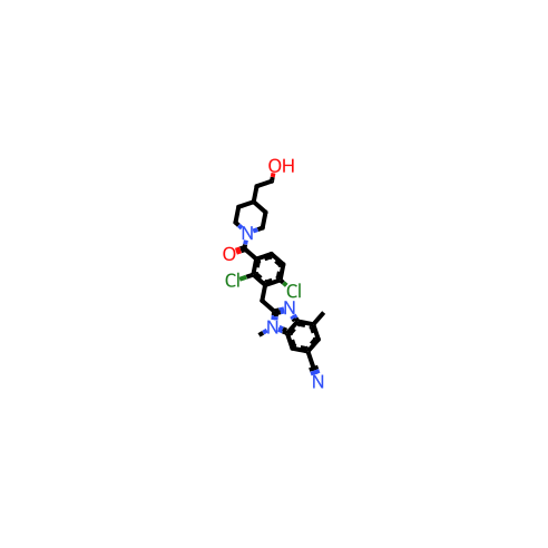 Cc1cc(C#N)cc2c1nc(Cc1c(Cl)ccc(C(=O)N3CCC(CCO)CC3)c1Cl)n2C